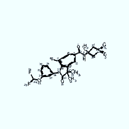 CC1(NC(=O)c2cc(F)c3c(c2)C(C)(C)C(=O)N3c2cccc(OC(F)F)c2)CS(=O)(=O)C1